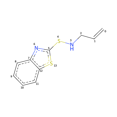 C=CCNSc1nc2ccccc2s1